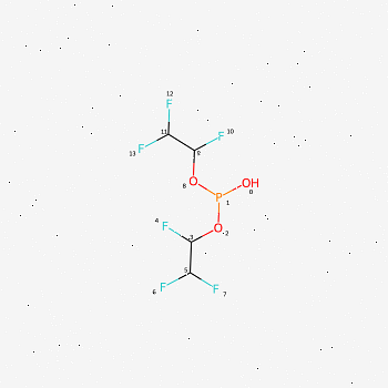 OP(OC(F)C(F)F)OC(F)C(F)F